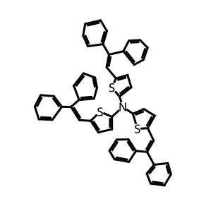 C(=C(c1ccccc1)c1ccccc1)c1ccc(N(c2ccc(C=C(c3ccccc3)c3ccccc3)s2)c2ccc(C=C(c3ccccc3)c3ccccc3)s2)s1